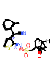 CC1=C(/C(C#N)=C2\C=CS\C2=N/OS(=O)(=O)CC23CC[C@H](CC2=O)C3(C)C)C=CCC1